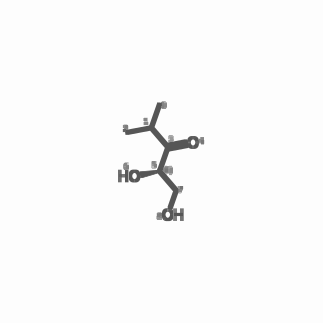 CC(C)C(=O)[C@H](O)CO